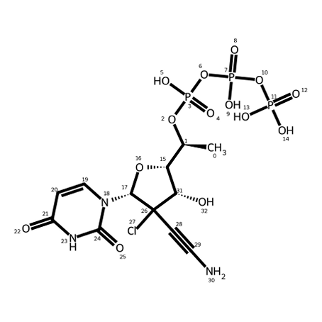 C[C@H](OP(=O)(O)OP(=O)(O)OP(=O)(O)O)[C@H]1O[C@@H](n2ccc(=O)[nH]c2=O)C(Cl)(C#CN)[C@H]1O